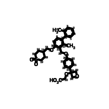 Cc1ccccc1-c1ccc(OCC2CCS(=O)(=O)CC2)c(COc2ccc(C3(OCC(=O)O)COC3)cc2)c1C